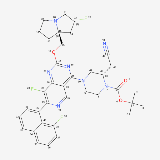 CC(C)(C)OC(=O)N1CCN(c2nc(OC[C@@]34CCCN3C[C@H](F)C4)nc3c(F)c(-c4cccc5cccc(F)c45)ncc23)C[C@@H]1CC#N